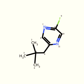 CC(C)(C)Cc1cnc(F)cn1